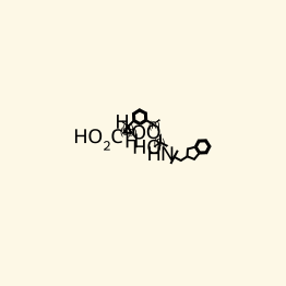 C[C@@H](OC[C@H](O)CNC(C)(C)CC1Cc2ccccc2C1)c1cccc2c1O[C@@H]1[C@@H](C(=O)O)[C@H]21